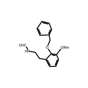 COc1cccc(CCNC=O)c1OCc1ccccc1